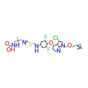 CC(C)(C/N=C/SCNc1cc(F)c(Oc2ccnc3c2c(Cl)cn3COCC[Si](C)(C)C)c(F)c1)CNC(=O)O